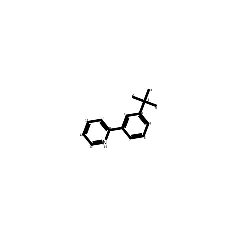 CC(C)(C)c1cccc(-c2ccccn2)c1